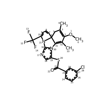 COC1=C(C)CC23C=CC=C(C(F)(F)F)N2c2ncc(SC(=O)c4cccc(Cl)c4)n2C3=C1C